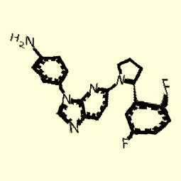 Nc1ccc(-n2cnc3ccc(N4CCC[C@H]4c4cc(F)ccc4F)nc32)cc1